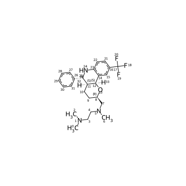 CN(C)CCN(C)C[C@H]1CC[C@@H]2[C@H](O1)c1cc(C(F)(F)F)ccc1N[C@H]2c1ccccc1